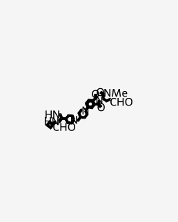 CNC(=O)C(CCC=O)N1C(=O)c2ccc(N3CCC(CN4CCC(/C(C=N)=C/NC5(C=O)CCC5)CC4)CC3)cc2C1=O